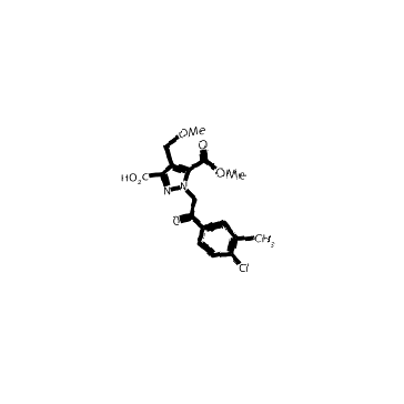 COCc1c(C(=O)O)nn(CC(=O)c2ccc(Cl)c(C)c2)c1C(=O)OC